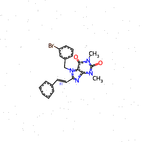 Cn1c(=O)c2c(nc(/C=C/c3ccccc3)n2Cc2cccc(Br)c2)n(C)c1=O